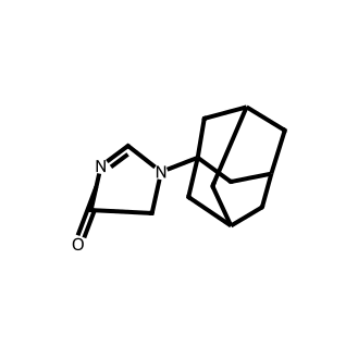 O=C1CN(C23CC4CC(CC(C4)C2)C3)C=N1